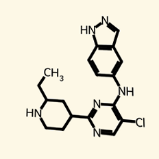 CCC1CC(c2ncc(Cl)c(Nc3ccc4[nH]ncc4c3)n2)CCN1